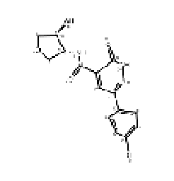 O=C(N[C@@H]1COC[C@H]1O)c1cc(-c2ccc(Cl)cc2)n[nH]c1=O